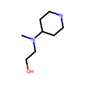 CN(CCO)C1CC[N]CC1